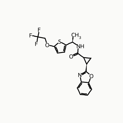 C[C@@H](NC(=O)C1C[C@H]1c1nc2ccccc2o1)c1ccc(OCC(F)(F)F)s1